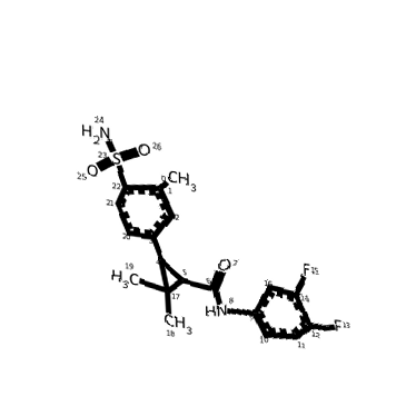 Cc1cc(C2C(C(=O)Nc3ccc(F)c(F)c3)C2(C)C)ccc1S(N)(=O)=O